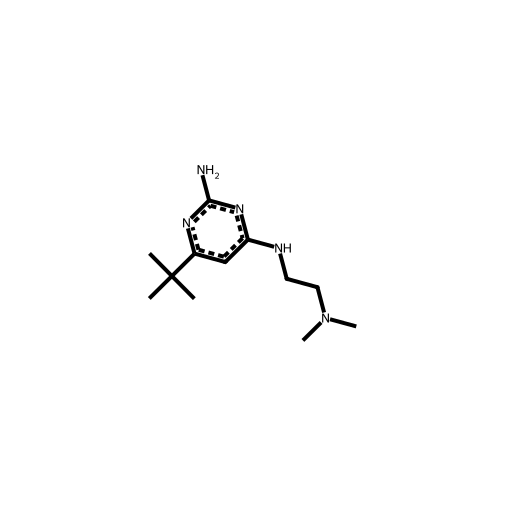 CN(C)CCNc1cc(C(C)(C)C)nc(N)n1